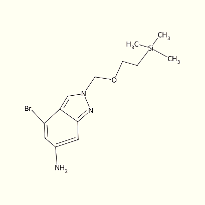 C[Si](C)(C)CCOCn1cc2c(Br)cc(N)cc2n1